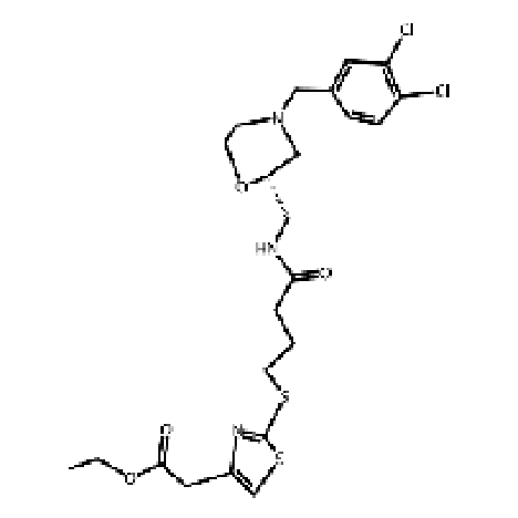 CCOC(=O)Cc1csc(SCCCC(=O)NC[C@H]2CN(Cc3ccc(Cl)c(Cl)c3)CCO2)n1